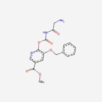 CCCCOC(=O)c1cnc(OC(=O)NC(=O)CN)c(OCc2ccccc2)c1